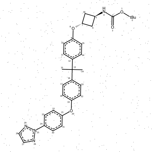 CC(C)(C)OC(=O)N[C@H]1C[C@H](Oc2ccc(C(C)(C)c3ccc(Oc4ccc(-n5nccn5)cc4)cc3)cc2)C1